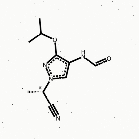 CC(C)Oc1nn([C@@H](C)C#N)cc1NC=O